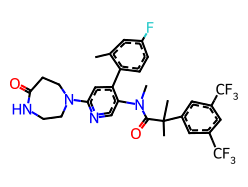 Cc1cc(F)ccc1-c1cc(N2CCNC(=O)CC2)ncc1N(C)C(=O)C(C)(C)c1cc(C(F)(F)F)cc(C(F)(F)F)c1